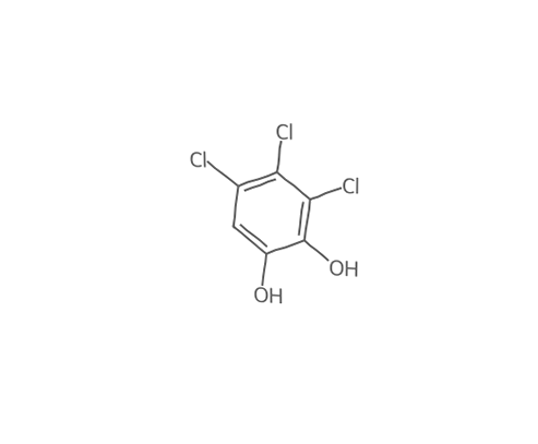 Oc1cc(Cl)c(Cl)c(Cl)c1O